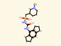 CCN1CCCC(CS(=O)(=O)NC(=O)Nc2c3c(cc4c2CCC4)CCC3)C1